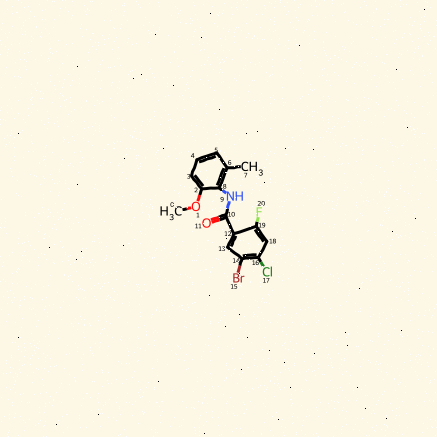 COc1cccc(C)c1NC(=O)c1cc(Br)c(Cl)cc1F